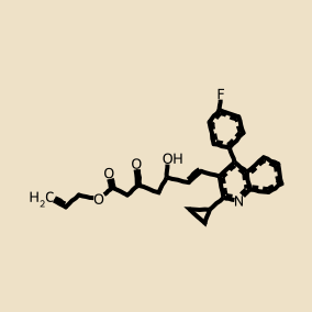 C=CCOC(=O)CC(=O)CC(O)C=Cc1c(C2CC2)nc2ccccc2c1-c1ccc(F)cc1